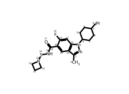 Cc1nn(C2CCC(C(C)C)CC2)c2cc(F)c(C(=O)NSN3CCC3)cc12